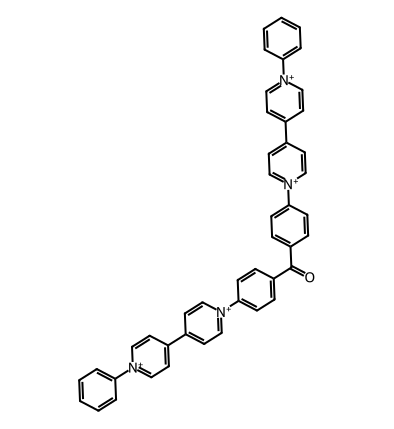 O=C(c1ccc(-[n+]2ccc(-c3cc[n+](-c4ccccc4)cc3)cc2)cc1)c1ccc(-[n+]2ccc(-c3cc[n+](-c4ccccc4)cc3)cc2)cc1